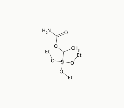 CCO[Si](OCC)(OCC)C(C)OC(N)=O